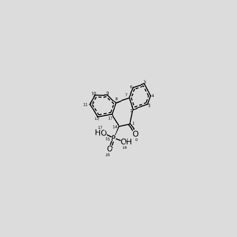 O=C1c2ccccc2-c2ccccc2C1P(=O)(O)O